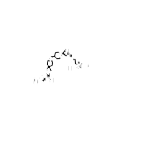 CC(C)(C)OC(=O)N1CC2(CCN(CC3CCN(c4cnn(COCC[Si](C)(C)C)c4)CC3)CC2)C1